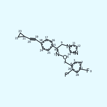 Fc1ccc(CO/N=C(\Cn2ccnc2)c2ccc(C#CC3CC3)cc2)c(F)c1